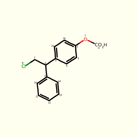 O=C(O)Oc1ccc(C(CCl)c2ccccc2)cc1